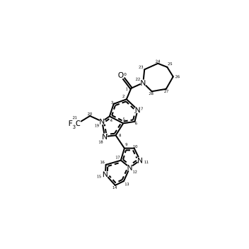 O=C(c1cc2c(cn1)c(-c1cnn3ccncc13)nn2CC(F)(F)F)N1CCCCCC1